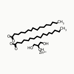 CCCCCCCCCCCCCCCC(=O)[O-].CCCCCCCCCCCCCCCC(=O)[O-].OCC(O)CO.[Zn+2]